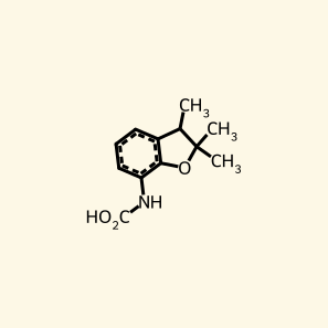 CC1c2cccc(NC(=O)O)c2OC1(C)C